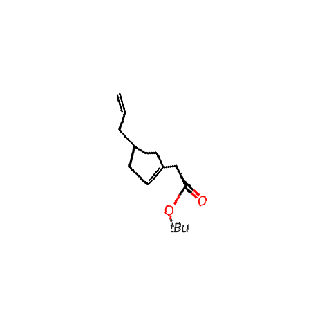 C=CCC1CC=C(CC(=O)OC(C)(C)C)C1